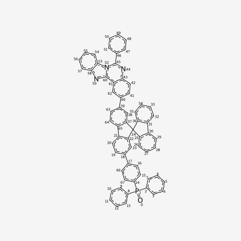 O=P(c1ccccc1)(c1ccccc1)c1ccc(-c2ccc3c(c2)C2(c4ccccc4-c4ccccc42)c2cc(-c4ccc5nc(-c6ccccc6)n6c7ccccc7nc6c5c4)ccc2-3)cc1